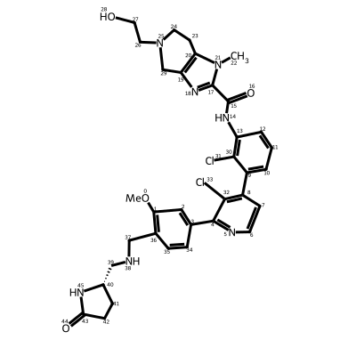 COc1cc(-c2nccc(-c3cccc(NC(=O)c4nc5c(n4C)CCN(CCO)C5)c3Cl)c2Cl)ccc1CNC[C@@H]1CCC(=O)N1